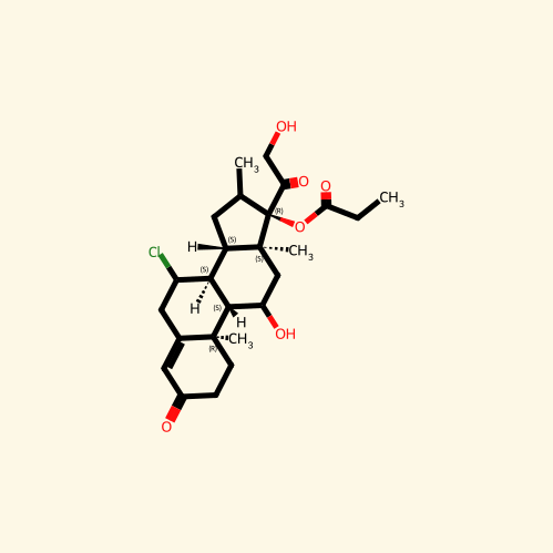 CCC(=O)O[C@]1(C(=O)CO)C(C)C[C@H]2[C@@H]3C(Cl)CC4=CC(=O)CC[C@]4(C)[C@H]3C(O)C[C@@]21C